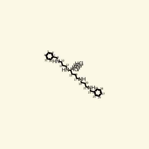 Cl.Cl.Cl.Cl.c1ccc(CNCCCNCCCCNCCCNCc2ccccc2)cc1